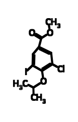 COC(=O)c1cc(Cl)c(OC(C)C)c(I)c1